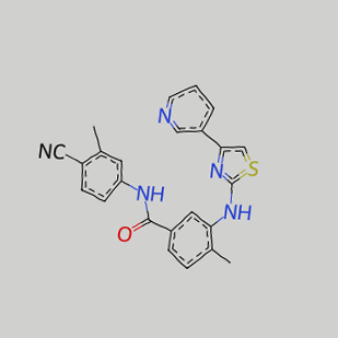 Cc1cc(NC(=O)c2ccc(C)c(Nc3nc(-c4cccnc4)cs3)c2)ccc1C#N